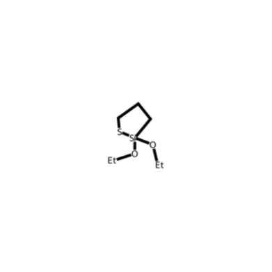 CCO[Si]1(OCC)CCCS1